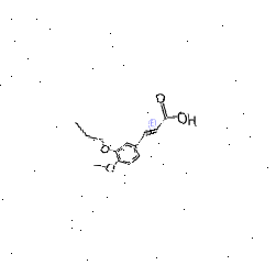 CCCOc1cc(/C=C/C(=O)O)ccc1OC